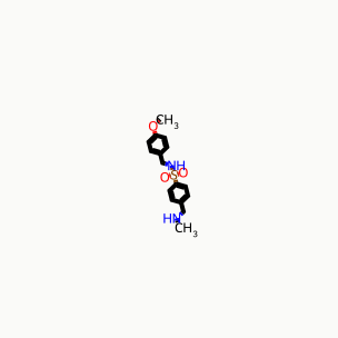 CNCc1ccc(S(=O)(=O)NCc2ccc(OC)cc2)cc1